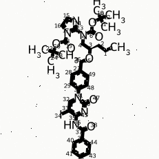 CCC[C@H](CN(C(=O)OC(C)(C)C)c1nccn1C(=O)OC(C)(C)C)OCc1ccc(-n2cc(I)c(NC(=O)c3ccccc3)nc2=O)cc1